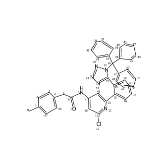 Cc1ccc(CC(=O)Nc2cc(Cl)nc(-c3ccccc3-c3nnnn3C(c3ccccc3)(c3ccccc3)c3ccccc3)c2)cc1